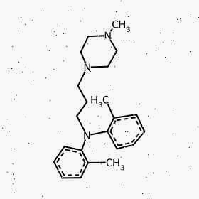 Cc1ccccc1N(CCCN1CCN(C)CC1)c1ccccc1C